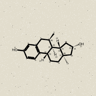 C[C@@H]1Cc2cc(O)ccc2[C@H]2CC[C@]3(C)C[C@@H](O)C[C@H]3[C@H]12